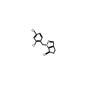 O=C1CCc2cnn(Cc3ccc(Cl)cc3Cl)c21